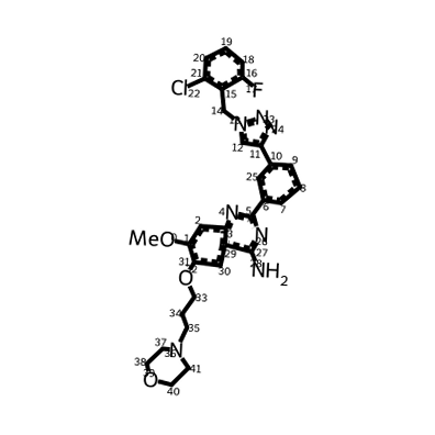 COc1cc2nc(-c3cccc(-c4cn(Cc5c(F)cccc5Cl)nn4)c3)nc(N)c2cc1OCCCN1CCOCC1